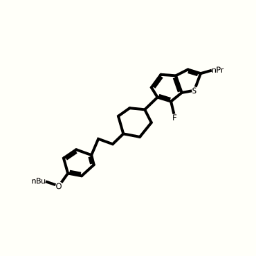 CCCCOc1ccc(CCC2CCC(c3ccc4cc(CCC)sc4c3F)CC2)cc1